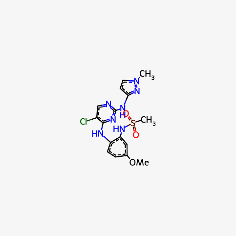 COc1ccc(Nc2nc(Nc3ccn(C)n3)ncc2Cl)c(NS(C)(=O)=O)c1